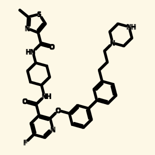 Cc1nc(C(=O)NC2CCC(NC(=O)c3cc(F)cnc3Oc3cccc(-c4cccc(CCCN5CCNCC5)c4)c3)CC2)cs1